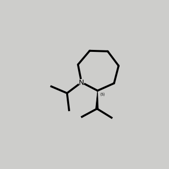 CC(C)[C@@H]1CCCCCN1C(C)C